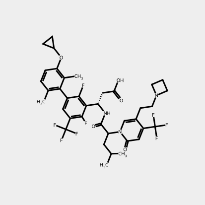 Cc1ccc(OC2CC2)c(C)c1-c1cc(C(F)(F)F)c(F)c([C@H](CC(=O)O)NC(=O)C(CC(C)C)n2cc(CCN3CCC3)c(C(F)(F)F)cc2=O)c1F